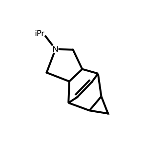 CC(C)N1CC2C3C=CC(C4CC34)C2C1